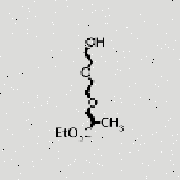 CCOC(=O)C(C)=COCCOCCO